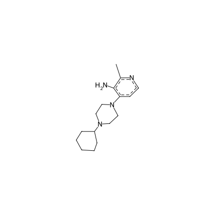 Cc1nccc(N2CCN(C3CCCCC3)CC2)c1N